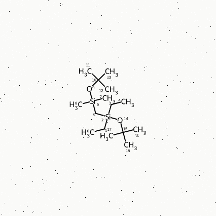 CC[Si](CC)(C[Si](C)(C)OC(C)(C)C)OC(C)(C)C